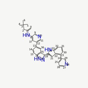 C=C(CC(C)(C)C)Nc1cncc(-c2ccc3[nH]nc(-c4cc5c(-c6cccnc6)cccc5[nH]4)c3c2)c1